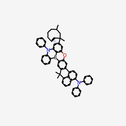 CC1CCC/C=C/C(C)(c2cc3c4c(c2)N(c2ccccc2)c2ccccc2B4c2cc4c(cc2O3)-c2ccc(N(c3ccccc3)c3ccccc3)c3cccc(c23)C4(C)C)C1